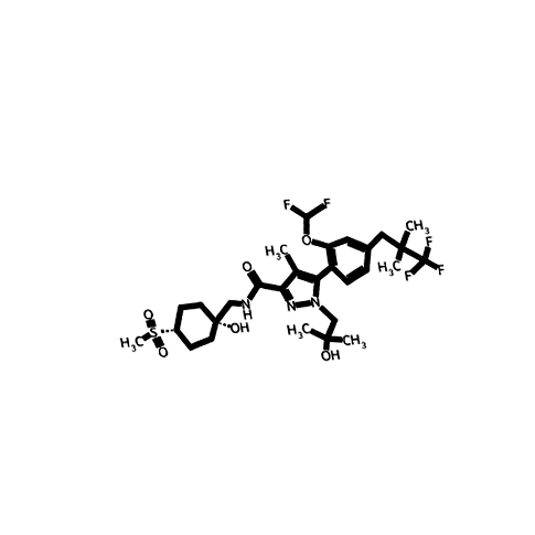 Cc1c(C(=O)NC[C@]2(O)CC[C@@H](S(C)(=O)=O)CC2)nn(CC(C)(C)O)c1-c1ccc(CC(C)(C)C(F)(F)F)cc1OC(F)F